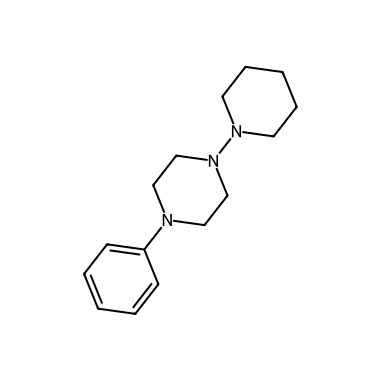 c1ccc(N2CCN(N3CCCCC3)CC2)cc1